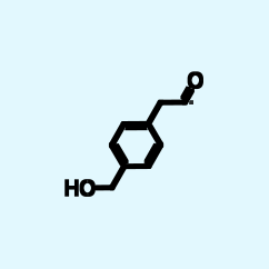 O=[C]Cc1ccc(CO)cc1